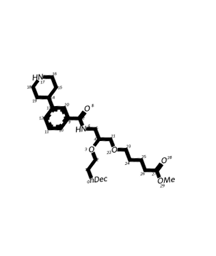 CCCCCCCCCCCCOC(CNC(=O)c1cccc(C2CCNCC2)c1)COCCCCC(=O)OC